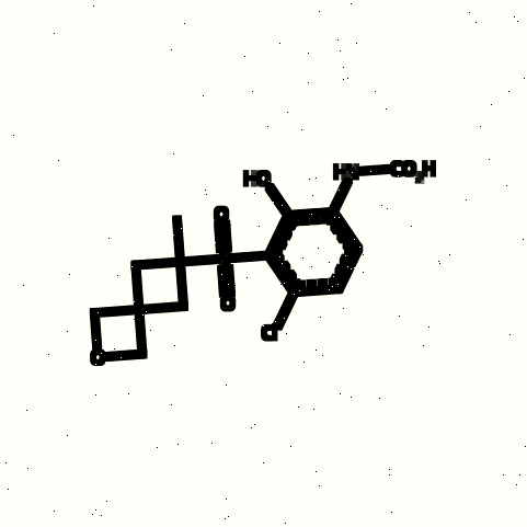 CC1(S(=O)(=O)c2c(Cl)ccc(NC(=O)O)c2O)CC2(COC2)C1